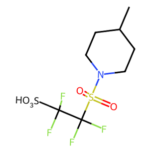 CC1CCN(S(=O)(=O)C(F)(F)C(F)(F)S(=O)(=O)O)CC1